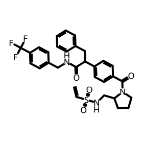 C=CS(=O)(=O)NCC1CCCN1C(=O)c1ccc(C(Cc2ccccc2)C(=O)NCc2ccc(C(F)(F)F)cc2)cc1